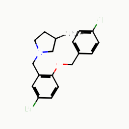 CNC1CCN(Cc2cc(Br)ccc2OCc2ccc(Cl)cc2)C1